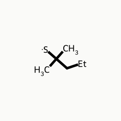 [CH2]CCC(C)(C)[S]